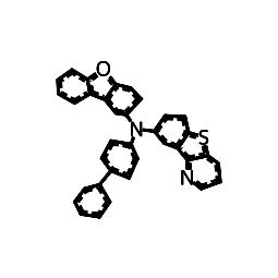 c1ccc(-c2ccc(N(c3ccc4oc5ccccc5c4c3)c3ccc4sc5cccnc5c4c3)cc2)cc1